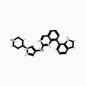 c1cc2c(c(-c3cccc4cnc(Nc5cnn(C6CCNCC6)c5)nc34)c1)OCC2